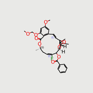 COCOc1cc(OC)cc2c1C(=O)O[C@@H](C)C/C=C(/F)C(OC(=O)c1ccccc1)[C@H]1OC(C)(C)C3(/C=C/2)O[C@H]13